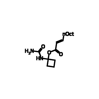 CCCCCCCCC=CC(=O)OC1(NC(N)=O)CCC1